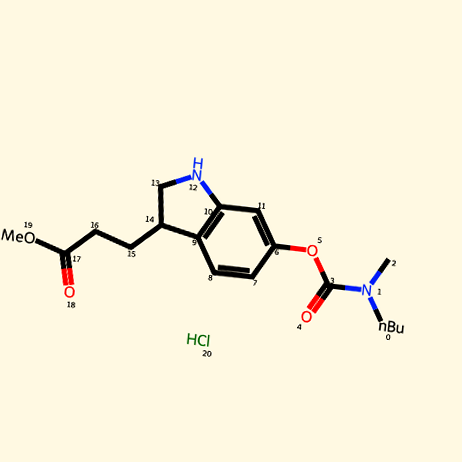 CCCCN(C)C(=O)Oc1ccc2c(c1)NCC2CCC(=O)OC.Cl